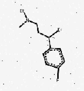 CCC(CCN(C)CC)c1ccc(F)cc1